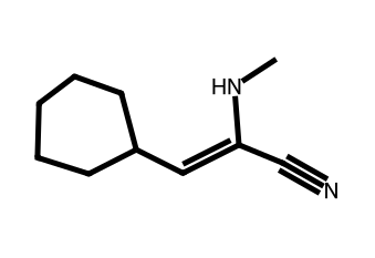 CN/C(C#N)=C\C1CCCCC1